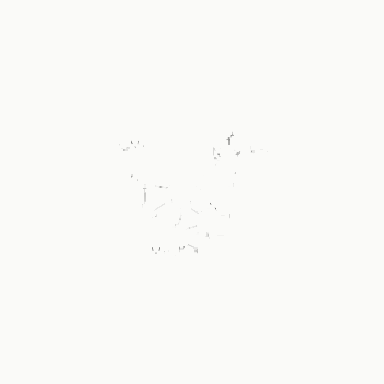 CCN(c1cc(-c2ccc(OCCOC)cc2)cc(C(=O)OC)c1C)C1CCC(NC(=O)OC(C)(C)C)CC1